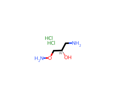 Cl.Cl.NC[C@H](O)CON